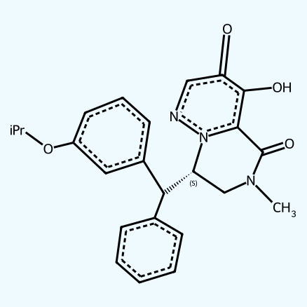 CC(C)Oc1cccc(C(c2ccccc2)[C@H]2CN(C)C(=O)c3c(O)c(=O)cnn32)c1